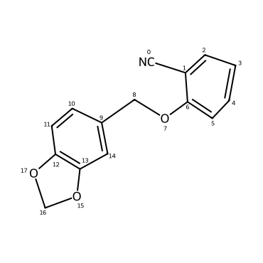 N#Cc1ccccc1OCc1ccc2c(c1)OCO2